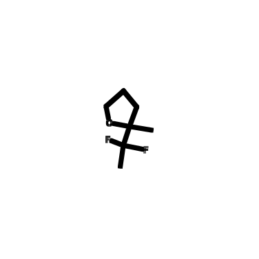 CC(F)(F)C1(C)CCCO1